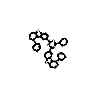 c1ccc(-c2nc(-c3ccc4oc5cccc(-c6ccccc6)c5c4c3)nc(-c3ccc4oc5cccc(-c6ccccc6)c5c4c3)n2)cc1